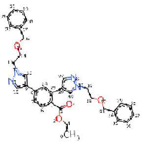 CCOC(=O)c1ccc(-c2cnn(CCOCc3ccccc3)c2)cc1-c1cnn(CCOCc2ccccc2)c1